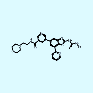 CCNC(=O)Nc1nc2cc(-c3cncc(C(=O)NCCN4CCOCC4)c3)cc(-c3ccccn3)c2s1